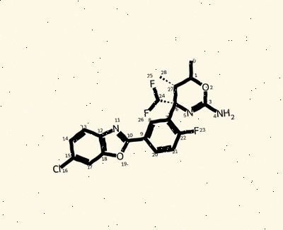 CC1OC(N)=N[C@](c2cc(-c3nc4ccc(Cl)cc4o3)ccc2F)(C(F)F)[C@@H]1C